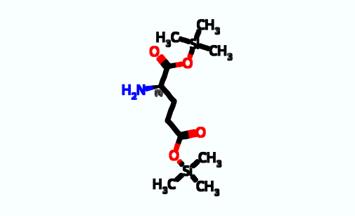 C[Si](C)(C)OC(=O)CC[C@@H](N)C(=O)O[Si](C)(C)C